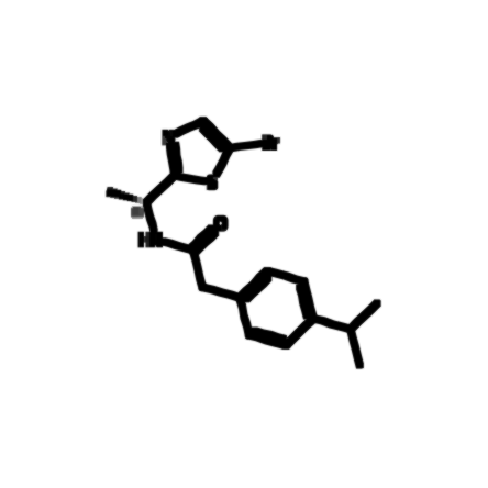 CC(C)c1ccc(CC(=O)N[C@H](C)c2ncc(Br)s2)cc1